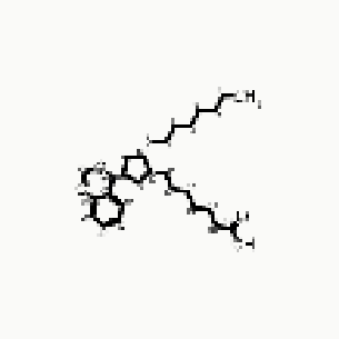 CCCCCCCC[C@H]1CCC[C@@H]1CCCCCCC(=O)O.c1ccc2c(c1)COCO2